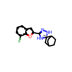 Fc1cccc2cc(C3=NN[C@@]4(CC5CCC4CC5)N3)oc12